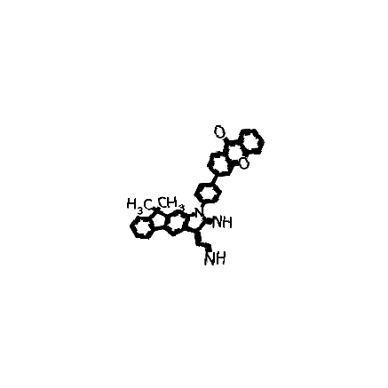 CC1(C)c2ccccc2-c2cc3c(cc21)N(c1ccc(-c2ccc4c(=O)c5ccccc5oc4c2)cc1)C(=N)/C3=C\C=N